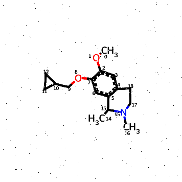 COc1cc2c(cc1OCC1CC1)C(C)N(C)CC2